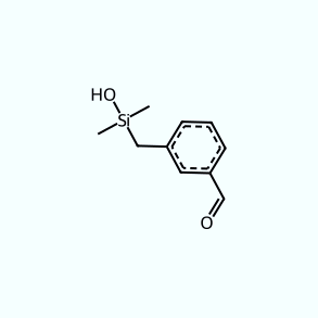 C[Si](C)(O)Cc1cccc(C=O)c1